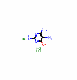 Cl.Cl.Cl.Nc1nc(N)c(N)c(O)n1